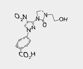 O=C(O)c1ccc(-n2cc([N+](=O)[O-])c(N3CCN(CCO)C3=O)n2)cc1